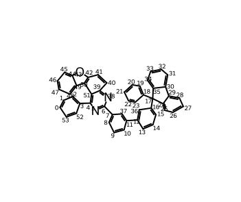 c1ccc(-c2nc(-c3cccc(-c4cccc(C5(c6ccccc6)c6ccccc6-c6ccccc65)c4)c3)nc3ccc4oc5ccccc5c4c23)cc1